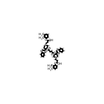 Cc1cccc(OC(O)CCN2CCC(OC(=O)/C=C/C(=O)OC3(c4cnc5ccccc5n4)CCN(CCC(O)Oc4cccc(C)c4C)CC3)(c3cnc4ccccc4n3)CC2)c1C